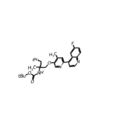 Cc1cc(-c2ccnc3ccc(F)cc23)ncc1OCC(C)(CC(C)C)NC(=O)OC(C)(C)C